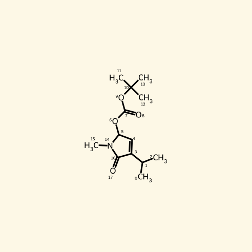 CC(C)C1=CC(OC(=O)OC(C)(C)C)N(C)C1=O